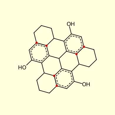 Oc1cccc(C(c2cccc(O)c2C2CCCCC2)c2cccc(O)c2C2CCCCC2)c1C1CCCCC1